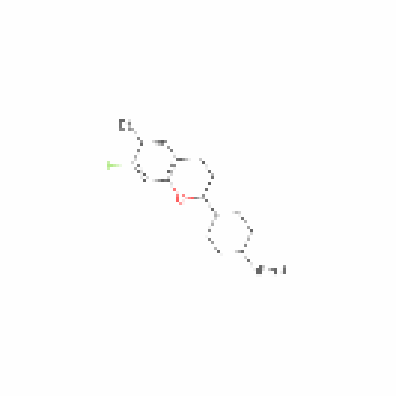 CCCCCC1CCC(C2CCc3cc(CC)c(F)cc3O2)CC1